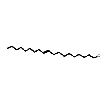 CCCCCCCCC=CCCCCCCCCC[O]